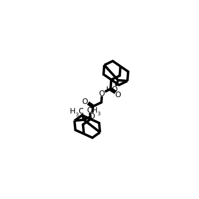 CC12CC3CC(C1)C(C)(OC(=O)COC(=O)C14CC5CC(C1)C(O)C(C5)C4)C(C3)C2